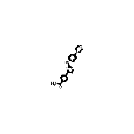 NC(=O)c1ccc(-c2ccnc(Nc3ccc(N4CCOCC4)cc3)n2)cc1